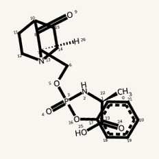 C[C@H](NP(=O)(OC[C@@H]1C(=O)C2CCN1CC2)Oc1ccccc1)C(=O)O